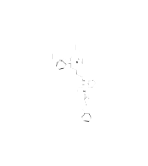 CC(C)[C@@](C#N)(CCCCC(=O)N1CCC[C@@H]1C(=O)NCCCc1ccccc1)c1ccccc1